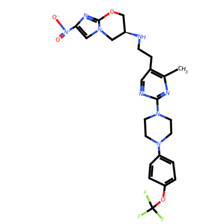 Cc1nc(N2CCN(c3ccc(OC(F)(F)F)cc3)CC2)ncc1CCN[C@@H]1COc2nc([N+](=O)[O-])cn2C1